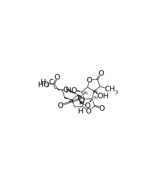 CCCC[C@@H]1CC2OC(=O)[C@]34O[C@@H]5OC(=O)[C@H](OCC(=O)O)C15C23[C@@H](O)C1OC(=O)C(C)[C@@]14O